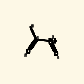 CC(=O)[PH]=O